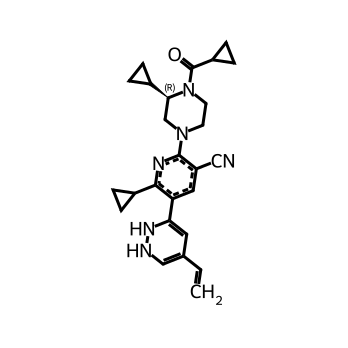 C=CC1=CNNC(c2cc(C#N)c(N3CCN(C(=O)C4CC4)[C@H](C4CC4)C3)nc2C2CC2)=C1